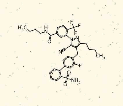 CCCCNC(=O)c1ccc(C(F)(F)F)c(-n2nc(CCCC)c(Cc3ccc(-c4ccccc4S(N)(=O)=O)cc3F)c2C#N)c1